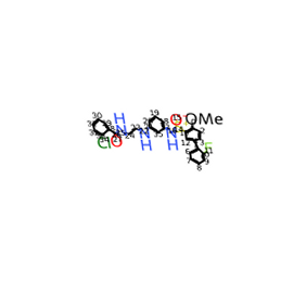 COc1ccc(-c2ccccc2F)cc1[S+]([O-])Nc1cccc(NCCNC(=O)c2ccccc2Cl)c1